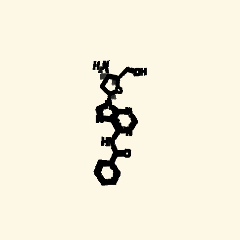 N[C@H]1C[C@H](n2cnc3c(NC(=O)c4ccccc4)ncnc32)O[C@@H]1CO